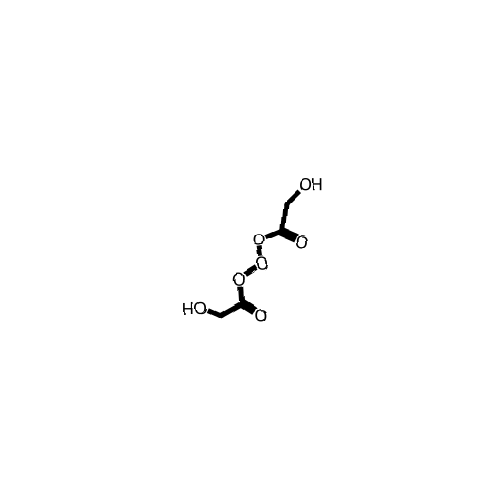 O=C(CO)OOOC(=O)CO